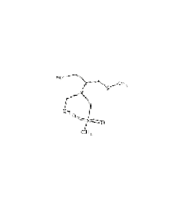 CSCC(CO)N(CO)CS(C)(=O)=O